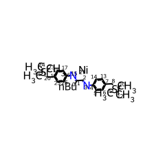 CCCCC(/C=N/c1ccc(C[Si](C)(C)C)cc1)=N\c1ccc(C[Si](C)(C)C)cc1.[Ni]